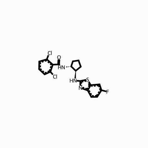 O=C(N[C@@H]1CCC[C@H]1Nc1nc2ccc(F)cc2s1)c1c(Cl)cccc1Cl